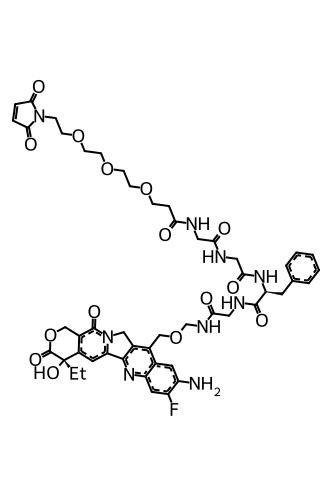 CC[C@@]1(O)C(=O)OCc2c1cc1n(c2=O)Cc2c-1nc1cc(F)c(N)cc1c2COCNC(=O)CNC(=O)[C@H](Cc1ccccc1)NC(=O)CNC(=O)CNC(=O)CCOCCOCCOCCN1C(=O)C=CC1=O